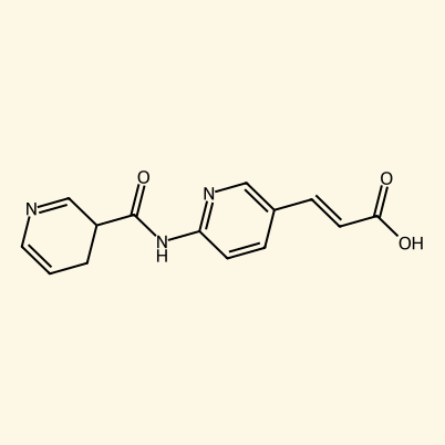 O=C(O)/C=C/c1ccc(NC(=O)C2C=NC=CC2)nc1